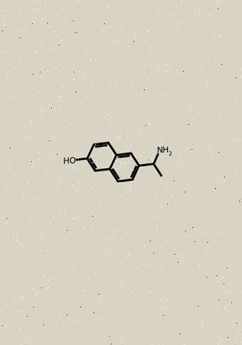 CC(N)c1ccc2cc(O)ccc2c1